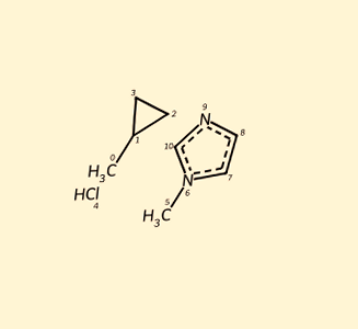 CC1CC1.Cl.Cn1ccnc1